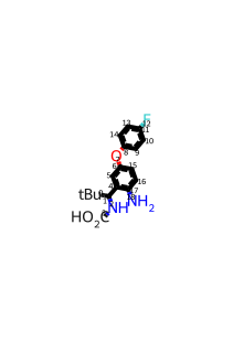 CC(C)(C)C(NC(=O)O)c1cc(Oc2ccc(F)cc2)ccc1N